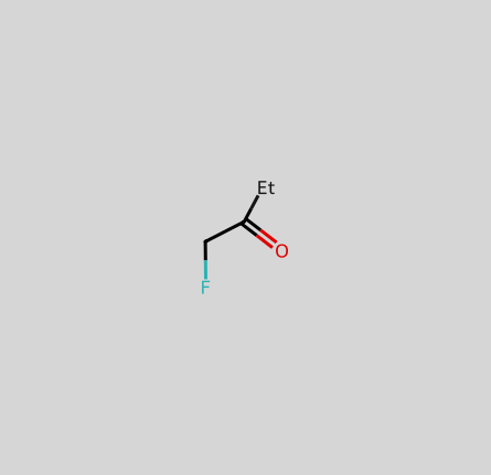 CCC(=O)CF